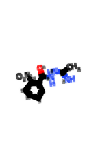 CC(=N)NNC(=O)c1ccccc1[N+](=O)[O-]